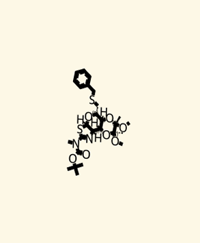 CO[C@@]1(C)O[C@@H]2[C@H]3N=C(N(C)C(=O)OC(C)(C)C)S[C@H]3O[C@H](CSCc3ccccc3)[C@H]2O[C@]1(C)OC